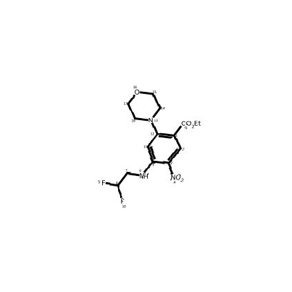 CCOC(=O)c1cc([N+](=O)[O-])c(NCC(F)F)cc1N1CCOCC1